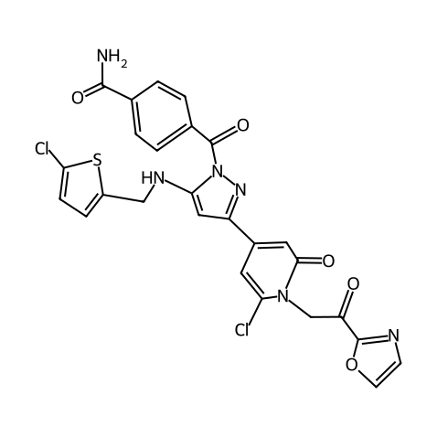 NC(=O)c1ccc(C(=O)n2nc(-c3cc(Cl)n(CC(=O)c4ncco4)c(=O)c3)cc2NCc2ccc(Cl)s2)cc1